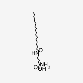 CCCCCCCCCCCCCCCCCC(=O)NCCCCC(N)C(=O)O